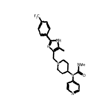 CNC(=O)N(c1ccncc1)C1CCN(Cc2nc(-c3ccc(C(F)(F)F)cc3)[nH]c2C)CC1